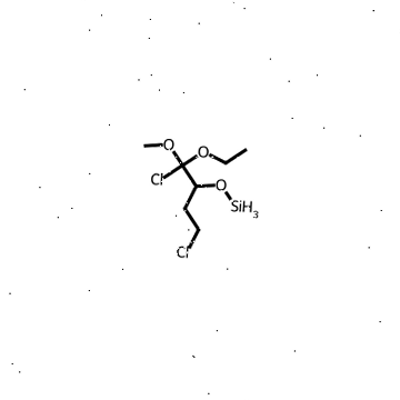 CCOC(Cl)(OC)C(CCCl)O[SiH3]